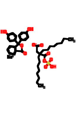 CCCCCCCCC(CCCCCCCC)(CC(=O)[O-])C(=O)OS(=O)(=O)O.O=C1OC(c2ccc(O)cc2)(c2ccc(O)cc2)c2ccccc21.[Na+]